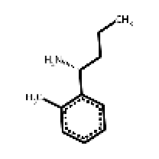 CCC[C@@H](N)c1ccccc1C